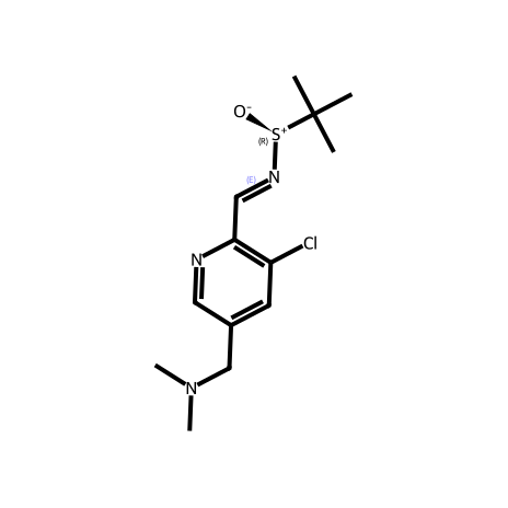 CN(C)Cc1cnc(/C=N/[S@@+]([O-])C(C)(C)C)c(Cl)c1